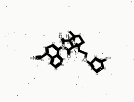 CC12CCC(CCOc3cccc(F)c3)(O1)[C@@]1(C)C(=O)N(c3ccc(C#N)c4ccccc34)C(=O)[C@@H]21